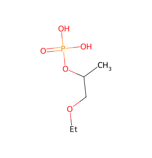 CCOCC(C)OP(=O)(O)O